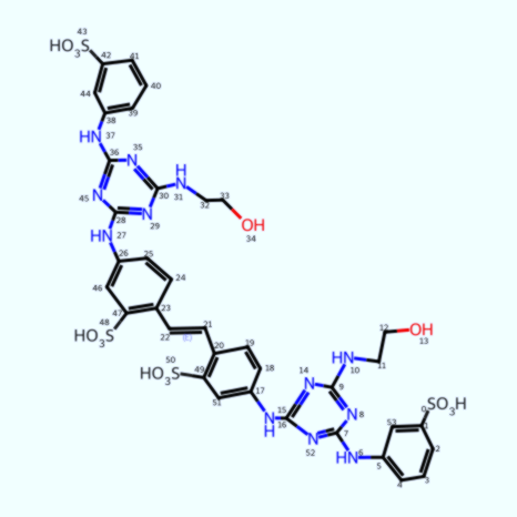 O=S(=O)(O)c1cccc(Nc2nc(NCCO)nc(Nc3ccc(/C=C/c4ccc(Nc5nc(NCCO)nc(Nc6cccc(S(=O)(=O)O)c6)n5)cc4S(=O)(=O)O)c(S(=O)(=O)O)c3)n2)c1